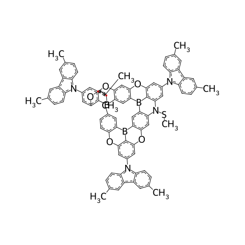 CSN1c2cc3c(cc2B2c4cc5c(cc4Oc4cc(-n6c7ccc(C)cc7c7cc(C)ccc76)cc1c42)Oc1cc(-n2c4ccc(C)cc4c4cc(C)ccc42)cc2c1B5c1cc(C)ccc1O2)B1c2cc(C)ccc2Oc2cc(-n4c5ccc(C)cc5c5cc(C)ccc54)cc(c21)O3